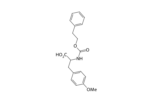 COc1ccc(CC(NC(=O)OCCc2ccccc2)C(=O)O)cc1